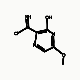 COc1cnc(C(=N)Cl)c(O)n1